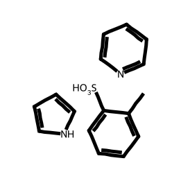 Cc1ccccc1S(=O)(=O)O.c1cc[nH]c1.c1ccncc1